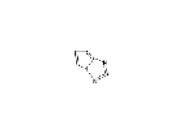 C1=Nc2cccn2N=1